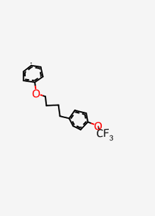 FC(F)(F)Oc1ccc(CCCCOc2cc[c]cc2)cc1